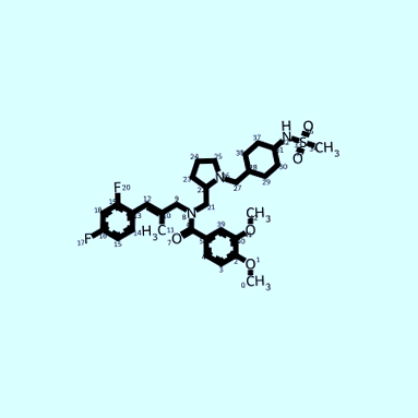 COc1ccc(C(=O)N(C/C(C)=C/c2ccc(F)cc2F)CC2CCCN2CC2CCC(NS(C)(=O)=O)CC2)cc1OC